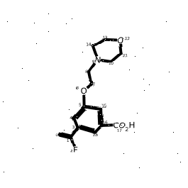 C=C(F)c1cc(OCCN2CCOCC2)cc(C(=O)O)c1